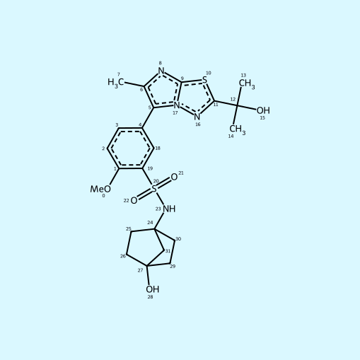 COc1ccc(-c2c(C)nc3sc(C(C)(C)O)nn23)cc1S(=O)(=O)NC12CCC(O)(CC1)C2